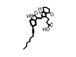 CCCCCCC#Cc1ccc2c(c1)/C(=C/c1[nH]c3c(c1CCC(=O)O)C(=O)CCC3)C(=O)N2